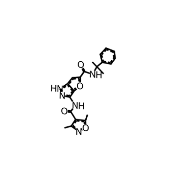 Cc1noc(C)c1C(=O)Nc1n[nH]c2cc(C(=O)NC(C)(C)c3ccccc3)oc12